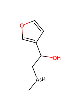 C[AsH]CC(O)c1ccoc1